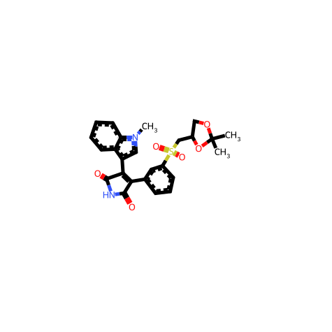 Cn1cc(C2=C(c3cccc(S(=O)(=O)CC4COC(C)(C)O4)c3)C(=O)NC2=O)c2ccccc21